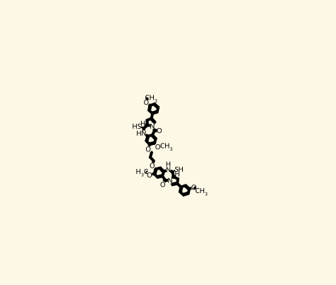 COc1cccc(C2=CN3C(=O)c4cc(OC)c(OCCCOc5cc6c(cc5OC)C(=O)N5C=C(c7cccc(OC)c7)C[C@H]5[C@H](S)N6)cc4N[C@@H](S)[C@@H]3C2)c1